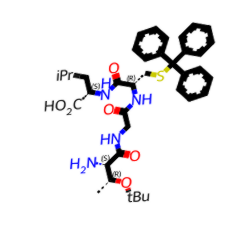 CC(C)C[C@H](NC(=O)[C@H](CSC(c1ccccc1)(c1ccccc1)c1ccccc1)NC(=O)CNC(=O)[C@@H](N)[C@@H](C)OC(C)(C)C)C(=O)O